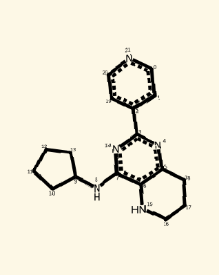 c1cc(-c2nc3c(c(NC4CCCC4)n2)NCCC3)ccn1